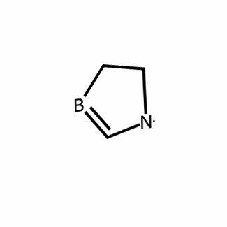 B1=C[N]CC1